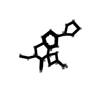 CCN1Cc2ccc(N3CCCC3)cc2C2(CC(N)C2)C1=O